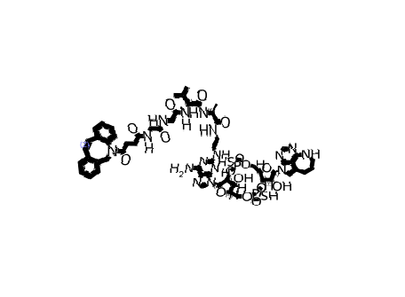 CC(C)[C@H](NC(=O)CNC(=O)CNC(=O)CCC(=O)N1Cc2ccccc2/C=C\c2ccccc21)C(=O)N[C@@H](C)C(=O)NCCNc1nc(N)c2ncn([C@@H]3O[C@@H]4COP(=O)(S)O[C@H]5[C@@H](O)[C@H](n6cc7c8c(ncnc86)NCCC7)O[C@@H]5COP(=O)(S)O[C@@H]3[C@@H]4O)c2n1